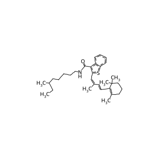 CCC(C)CCCCCNC(=O)c1c(C=C(C)C=CC2=C(C)CCCC2(C)C)sc2ccccc12